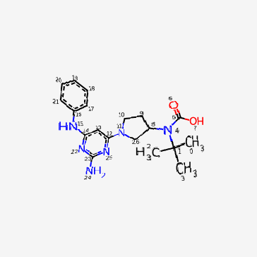 CC(C)(C)N(C(=O)O)C1CCN(c2cc(Nc3ccccc3)nc(N)n2)C1